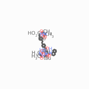 C[C@@H](C(=O)N[C@@H](Cc1ccc(CCc2ccc(C(=O)N[C@H]3C[C@@H](C(=O)N[C@@H]4CCCc5ccccc54)N(C(=O)[C@@H](NC(=O)[C@H](C)N(C)C(=O)OC(C)(C)C)C(C)(C)C)C3)cc2)cc1)C(=O)O)N(C)C(=O)OC(C)(C)C